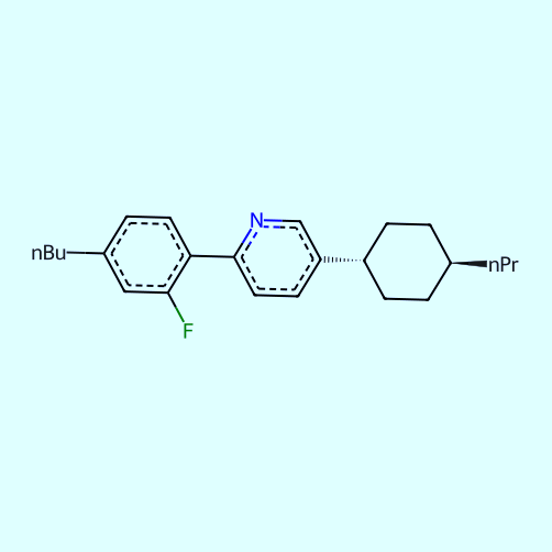 CCCCc1ccc(-c2ccc([C@H]3CC[C@H](CCC)CC3)cn2)c(F)c1